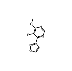 COc1ncnc(-c2ncon2)c1F